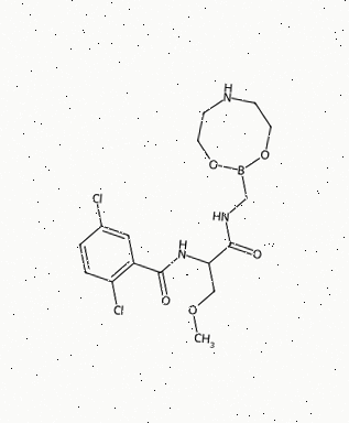 COCC(NC(=O)c1cc(Cl)ccc1Cl)C(=O)NCB1OCCNCCO1